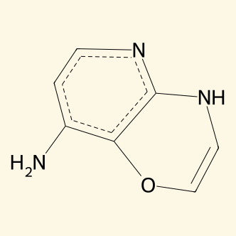 Nc1ccnc2c1OC=CN2